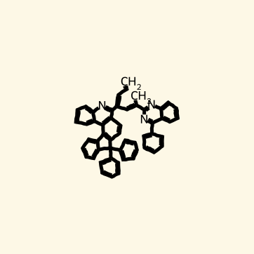 C=C/C=C(\C=C(/C)c1nc(-c2ccccc2)c2ccccc2n1)c1nc2ccccc2c2c3c(ccc12)C(c1ccccc1)(c1ccccc1)c1ccccc1-3